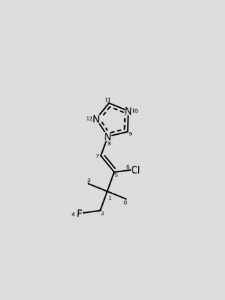 CC(C)(CF)/C(Cl)=C/n1cncn1